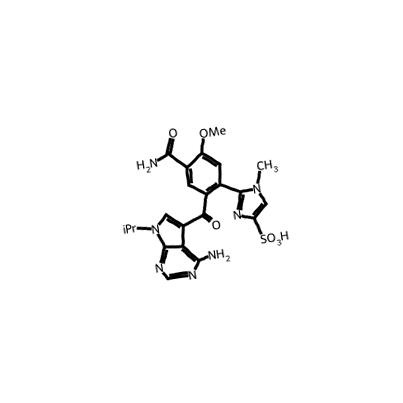 COc1cc(-c2nc(S(=O)(=O)O)cn2C)c(C(=O)c2cn(C(C)C)c3ncnc(N)c23)cc1C(N)=O